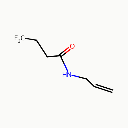 C=CCNC(=O)CCC(F)(F)F